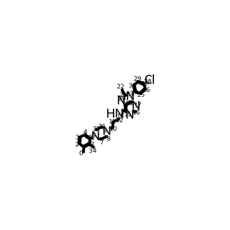 Cc1cccc(N2CCN(CCCNc3ncnc4c3nc(C)n4-c3ccc(Cl)cc3)CC2)c1C